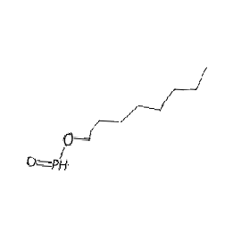 CCCCCCCCO[PH]=O